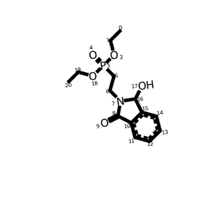 CCOP(=O)(CCN1C(=O)c2ccccc2C1O)OCC